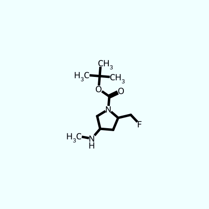 CNC1CC(CF)N(C(=O)OC(C)(C)C)C1